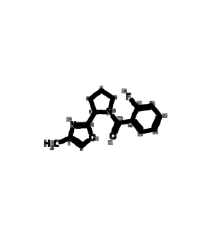 Cc1coc(C2CCCN2C(=O)c2ccccc2F)n1